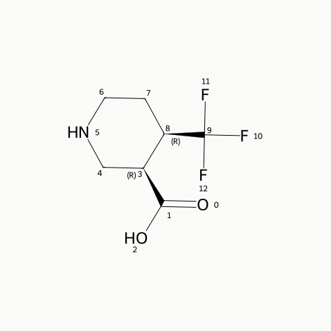 O=C(O)[C@H]1CNCC[C@H]1C(F)(F)F